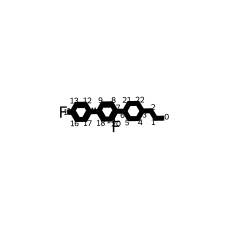 CCCC1CCC(c2ccc(-c3ccc(F)cc3)cc2F)CC1